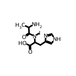 CC(N)C(=O)N(I)C(Cc1c[nH]cn1)C(=O)O